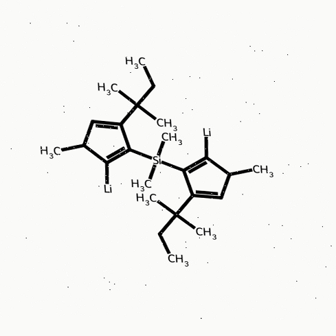 [Li][C]1=C([Si](C)(C)C2=[C]([Li])C(C)C=C2C(C)(C)CC)C(C(C)(C)CC)=CC1C